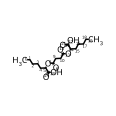 CCCCCC(OC(=O)CCC(=O)OC(CCCCC)C(=O)O)C(=O)O